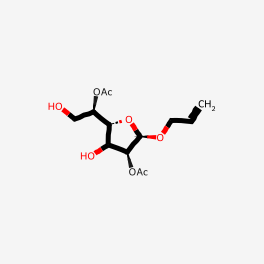 C=CCO[C@@H]1O[C@@H]([C@@H](CO)OC(C)=O)C(O)[C@@H]1OC(C)=O